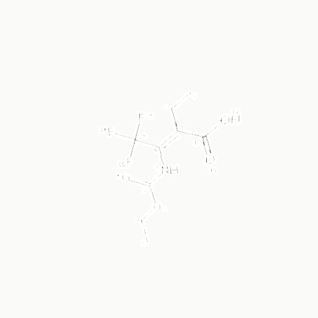 CCOC(=O)NC(=C(CC)C(=O)O)C(F)(F)F